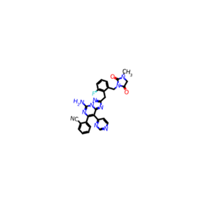 CN1CC(=O)N(Cc2cccc(F)c2Cc2nc3c(-c4ccncn4)c(-c4ccccc4C#N)nc(N)n3n2)C1=O